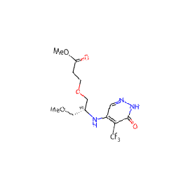 COC[C@H](COCCC(=O)OC)Nc1cn[nH]c(=O)c1C(F)(F)F